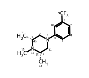 C[C@@H]1CN(c2cccc(C(F)(F)F)c2)C[C@H](C)N1C